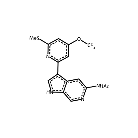 CSc1cc(OC(F)(F)F)cc(-c2c[nH]c3cnc(NC(C)=O)cc23)n1